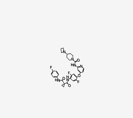 O=C(Nc1cc(Oc2cc(F)c(NC(=O)C3(C(=O)Nc4ccc(F)cc4)CC3)cc2F)ccn1)N1CCC(N2CCC2)CC1